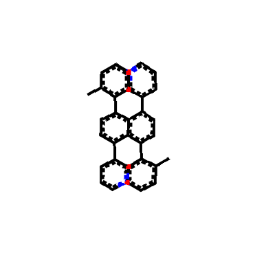 Cc1ccccc1-c1ccc(-c2cccnc2)c2c(-c3ccccc3C)ccc(-c3cccnc3)c12